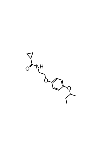 CCC(C)Oc1ccc(OCCNC(=O)C2CC2)cc1